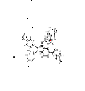 COc1ccc(-c2c(C3CCCCC3)c3ccc(C(=O)NS(C)(=O)=O)cc3n2CC(C)(C)C(=O)N2C3CCC2CC(=O)C3)c(C)c1